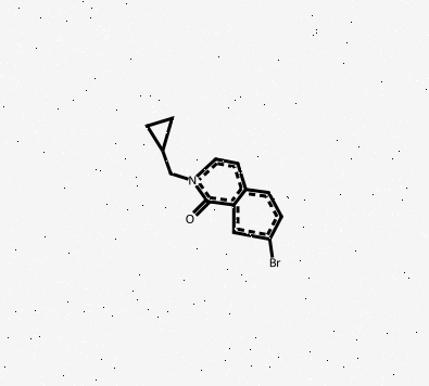 O=c1c2cc(Br)ccc2ccn1CC1CC1